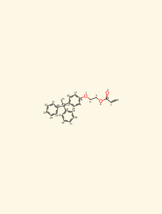 C=CC(=O)OCCOc1ccc([Si](C)(c2ccccc2)c2ccccc2)cc1